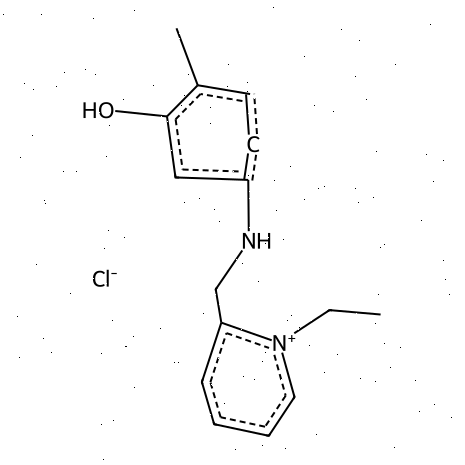 CC[n+]1ccccc1CNc1ccc(C)c(O)c1.[Cl-]